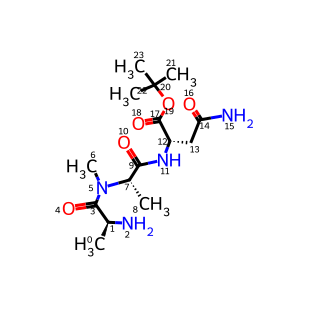 C[C@H](N)C(=O)N(C)[C@@H](C)C(=O)N[C@@H](CC(N)=O)C(=O)OC(C)(C)C